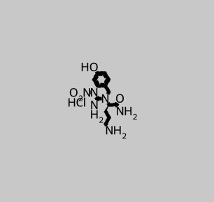 Cl.NCCC[C@H](C(N)=O)N(Cc1ccc(O)cc1)C(N)=N[N+](=O)[O-]